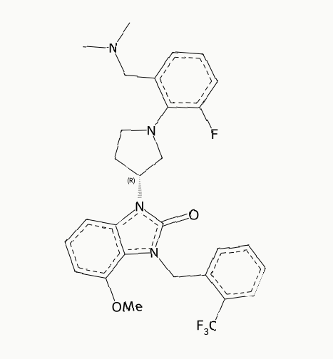 COc1cccc2c1n(Cc1ccccc1C(F)(F)F)c(=O)n2[C@@H]1CCN(c2c(F)cccc2CN(C)C)C1